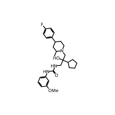 COc1cccc(NC(=O)NCC(O)(CN2CCC(c3ccc(F)cc3)CC2C)C2CCCC2)c1